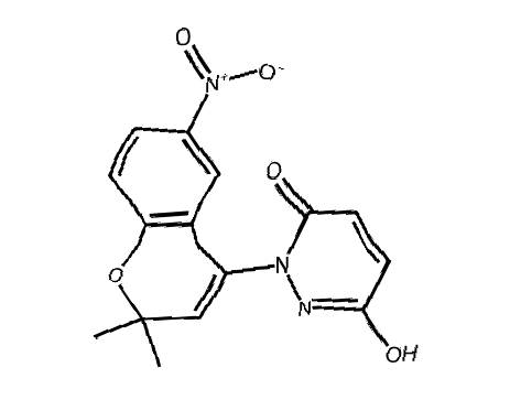 CC1(C)C=C(n2nc(O)ccc2=O)c2cc([N+](=O)[O-])ccc2O1